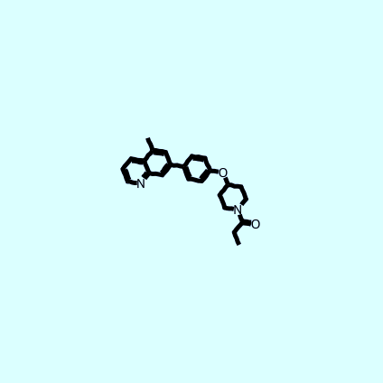 CCC(=O)N1CCC(Oc2ccc(-c3cc(C)c4cccnc4c3)cc2)CC1